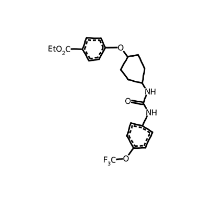 CCOC(=O)c1ccc(OC2CCC(NC(=O)Nc3ccc(OC(F)(F)F)cc3)CC2)cc1